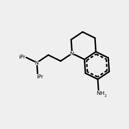 CC(C)N(CCN1CCCc2ccc(N)cc21)C(C)C